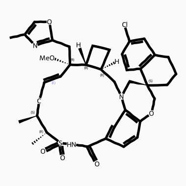 CO[C@@]1(Cc2nc(C)co2)/C=C/C[C@H](C)[C@@H](C)S(=O)(=O)NC(=O)c2ccc3c(c2)N(C[C@@H]2CC[C@H]21)C[C@@]1(CCCc2cc(Cl)ccc21)CO3